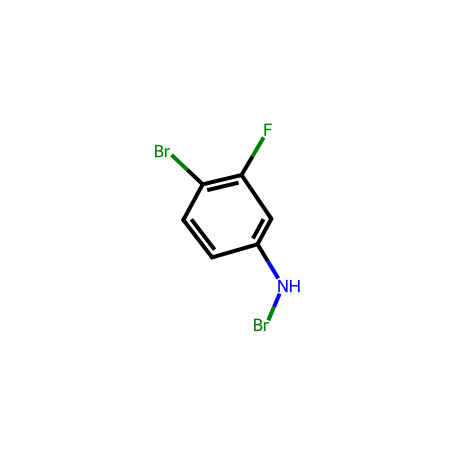 Fc1cc(NBr)ccc1Br